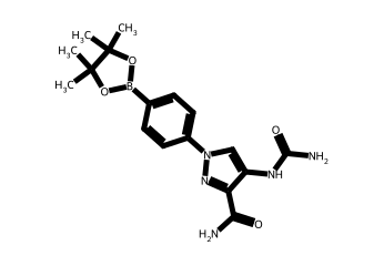 CC1(C)OB(c2ccc(-n3cc(NC(N)=O)c(C(N)=O)n3)cc2)OC1(C)C